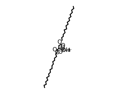 CCCCCCCCCCCCCCCCCCOC(=O)CC(C(=O)OCCCCCCCCCCCCCCCCCC)S(=O)(=O)O.[Na]